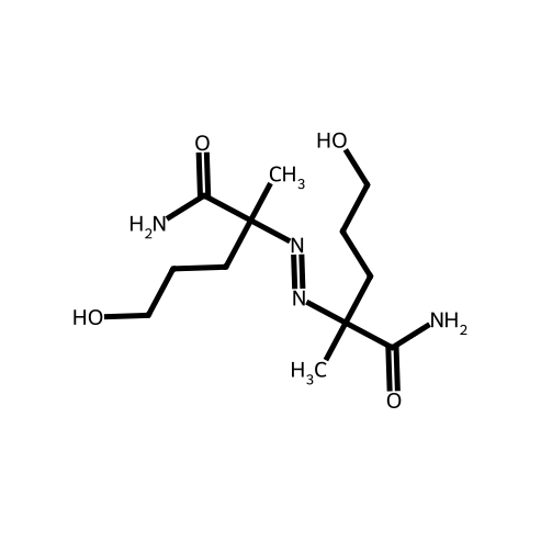 CC(CCCO)(N=NC(C)(CCCO)C(N)=O)C(N)=O